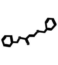 O=C(C=COCc1ccccc1)OCc1ccccc1